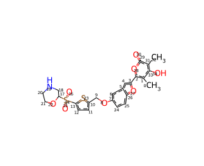 Cc1c(-c2cc3cc(OCc4ccc(S(=O)(=O)C5CNCCO5)s4)ccc3o2)oc(=O)c(C)c1O